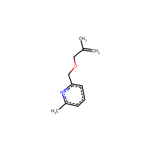 C=C(C)COCc1cccc(C)n1